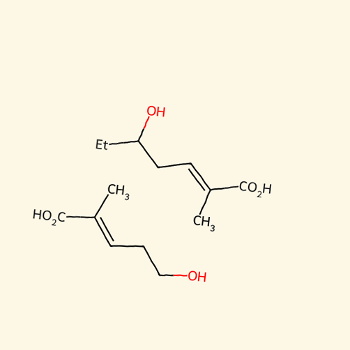 C/C(=C\CCO)C(=O)O.CCC(O)C/C=C(\C)C(=O)O